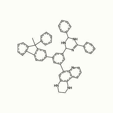 CC1(c2ccccc2)c2ccccc2-c2ccc(-c3cc(-c4cc5c(c6cccnc46)NCCN5)cc(C4N=C(c5ccccc5)NC(c5ccccc5)N4)c3)cc21